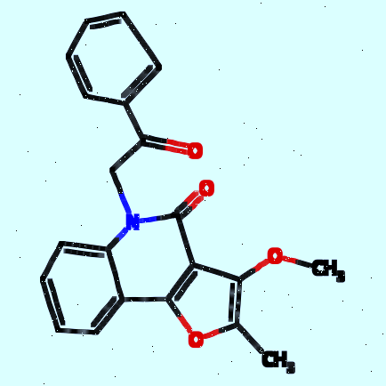 COc1c(C)oc2c1c(=O)n(CC(=O)c1ccccc1)c1ccccc21